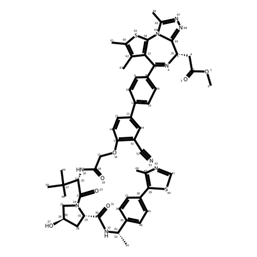 COC(=O)C[C@@H]1N=C(c2ccc(-c3ccc(OCC(=O)N[C@H](C(=O)N4C[C@H](O)C[C@H]4C(=O)N[C@@H](C)c4ccc(-c5scnc5C)cc4)C(C)(C)C)c(C#N)c3)cc2)c2c(sc(C)c2C)-n2c(C)nnc21